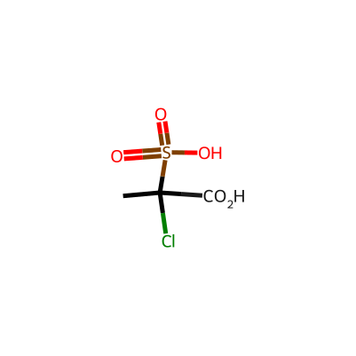 CC(Cl)(C(=O)O)S(=O)(=O)O